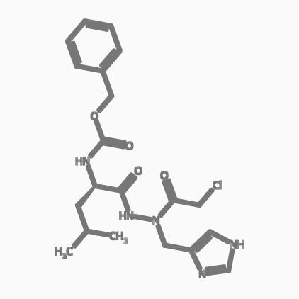 CC(C)C[C@@H](NC(=O)OCc1ccccc1)C(=O)NN(Cc1c[nH]cn1)C(=O)CCl